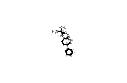 C[C@H](N)C(=O)N[C@H]1CC[C@H](c2ccccc2)CNC1=O